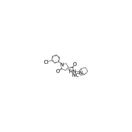 N#CN1C2CCC1C(NC(=O)[C@H]1CC(=O)N(c3cccc(Cl)c3)C1)C2